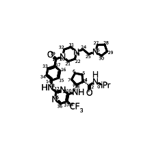 CC(C)NC(=O)[C@H]1CCC[C@H]1Nc1nc(Nc2ccc(C(=O)N3CCN(CCN4CCCC4)CC3)cc2)ncc1C(F)(F)F